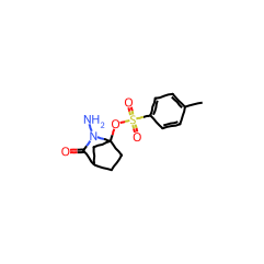 Cc1ccc(S(=O)(=O)OC23CCC(C2)C(=O)N3N)cc1